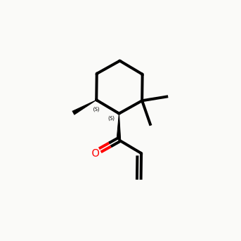 C=CC(=O)[C@H]1[C@@H](C)CCCC1(C)C